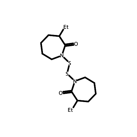 CCC1CCCCN(SSN2CCCCC(CC)C2=O)C1=O